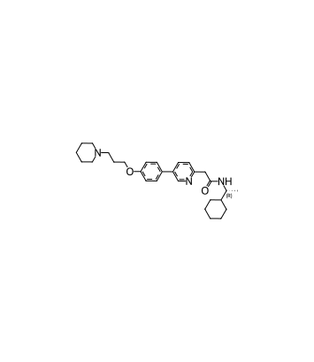 C[C@@H](NC(=O)Cc1ccc(-c2ccc(OCCCN3CCCCC3)cc2)cn1)C1CCCCC1